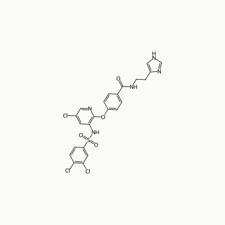 O=C(NCCc1c[nH]cn1)c1ccc(Oc2ncc(Cl)cc2NS(=O)(=O)c2ccc(Cl)c(Cl)c2)cc1